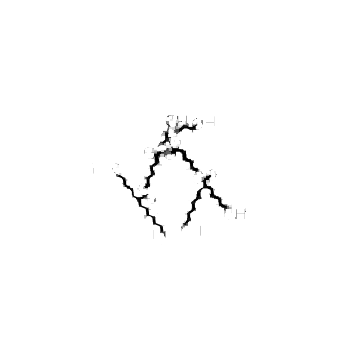 CCCCCCCCC(CCCCCC)C(=O)OCCCCCC(=O)OCC(CN(C)CCCO)OC(=O)CCCCCOC(=O)C(CCCCCC)CCCCCCCC